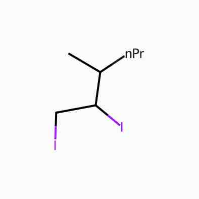 CCCC(C)C(I)CI